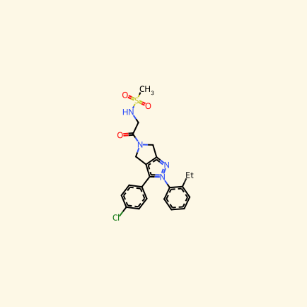 CCc1ccccc1-n1nc2c(c1-c1ccc(Cl)cc1)CN(C(=O)CNS(C)(=O)=O)C2